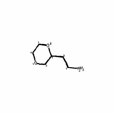 NCCC1COCCO1